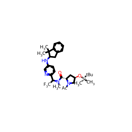 CC(=O)N1C[C@H](O[Si](C)(C)C(C)(C)C)C[C@H]1C(=O)N(C)C(c1ccc(NC2Cc3ccccc3C2(C)C)cn1)C(F)(F)F